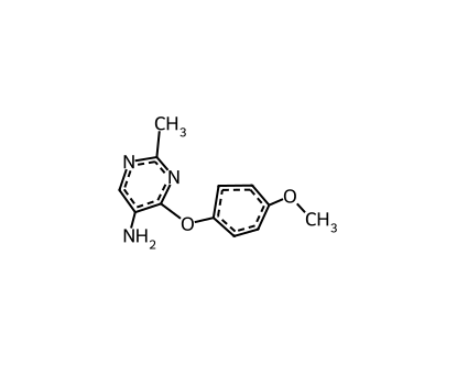 COc1ccc(Oc2nc(C)ncc2N)cc1